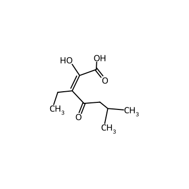 CCC(C(=O)CC(C)C)=C(O)C(=O)O